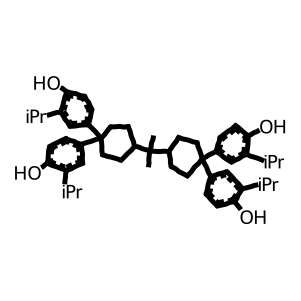 CC(C)c1cc(C2(c3ccc(O)c(C(C)C)c3)CCC(C(C)(C)C3CCC(c4ccc(O)c(C(C)C)c4)(c4ccc(O)c(C(C)C)c4)CC3)CC2)ccc1O